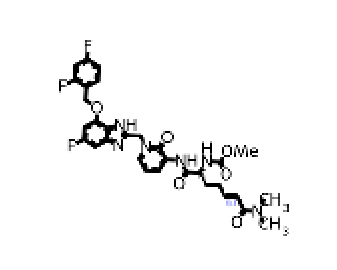 COC(=O)N[C@@H](CC/C=C/C(=O)N(C)C)C(=O)Nc1cccn(Cc2nc3cc(F)cc(OCc4ccc(F)cc4F)c3[nH]2)c1=O